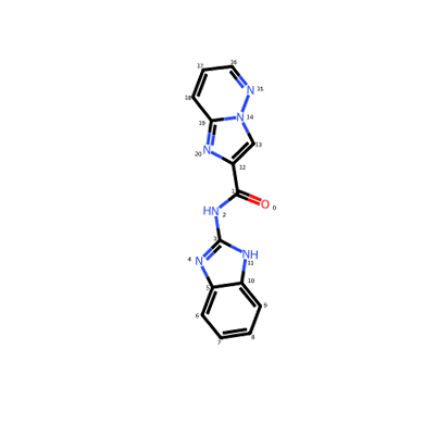 O=C(Nc1nc2ccccc2[nH]1)c1cn2ncccc2n1